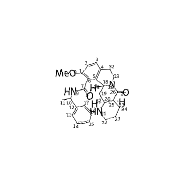 COc1ccc2c(c1C(=O)NC(C)c1ccccc1)[C@H]1C[C@@H]3NCCC[C@@H]3C(=O)N1CC2